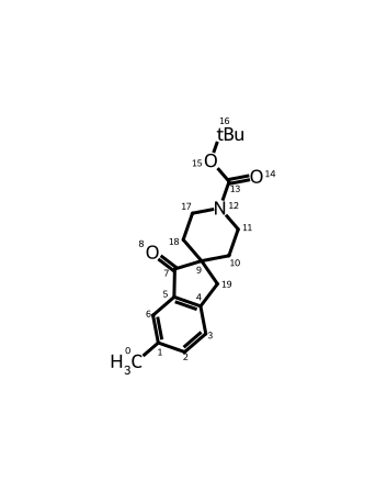 Cc1ccc2c(c1)C(=O)C1(CCN(C(=O)OC(C)(C)C)CC1)C2